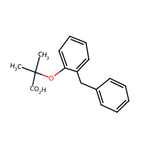 CC(C)(Oc1ccccc1Cc1ccccc1)C(=O)O